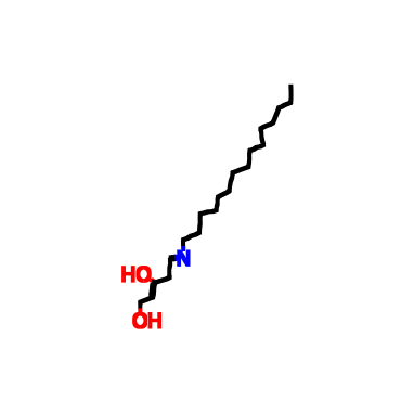 CCCCCCCCCCCCCCCN=CCC(O)=CCO